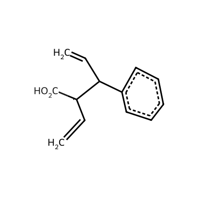 C=C[C](C(=O)O)C(C=C)c1ccccc1